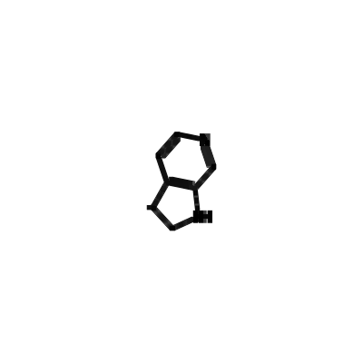 [CH]1CNc2cnccc21